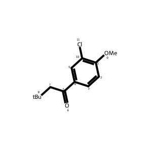 COc1ccc(C(=O)CC(C)(C)C)cc1Cl